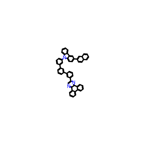 C1=CC2C=CC(c3ccc4c(c3)c3ccccc3n4-c3cccc(-c4cccc(-c5cccc(-c6cnc7c8ccccc8c8ccccc8c7n6)c5)c4)c3)=CC2C=C1